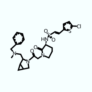 CN(Cc1ccccc1)CC1C2CC2CN1C(=O)CN1CCC[C@H](NS(=O)(=O)/C=C/c2ccc(Cl)s2)C1=O